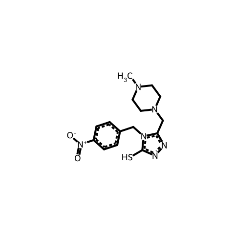 CN1CCN(Cc2nnc(S)n2Cc2ccc([N+](=O)[O-])cc2)CC1